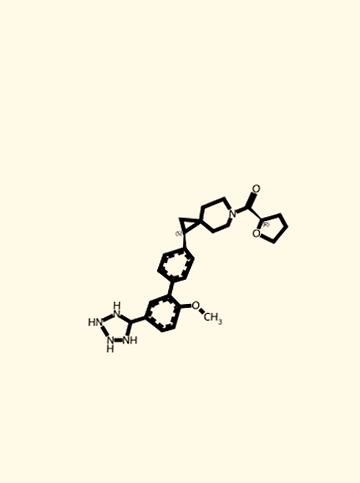 COc1ccc(C2NNNN2)cc1-c1ccc([C@H]2CC23CCN(C(=O)[C@H]2CCCO2)CC3)cc1